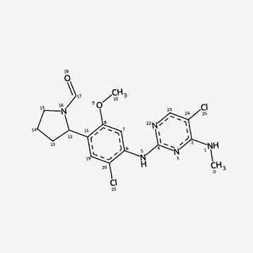 CNc1nc(Nc2cc(OC)c(C3CCCN3C=O)cc2Cl)ncc1Cl